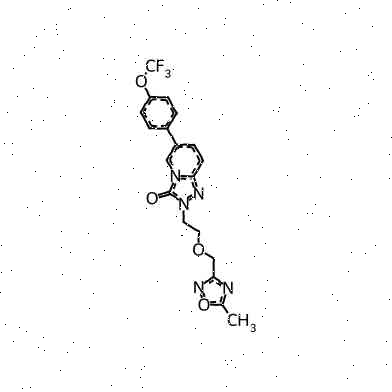 Cc1nc(COCCn2nc3ccc(-c4ccc(OC(F)(F)F)cc4)cn3c2=O)no1